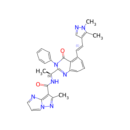 Cc1nn2cccnc2c1C(=O)N[C@@H](C)c1nc2cccc(/C=C/c3cnn(C)c3C)c2c(=O)n1-c1ccccc1